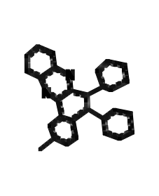 Cc1ccc2c(-c3ccccc3)c(-c3ccccc3)c3nc4ccccc4nc3c2c1